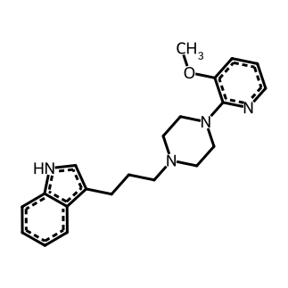 COc1cccnc1N1CCN(CCCc2c[nH]c3ccccc23)CC1